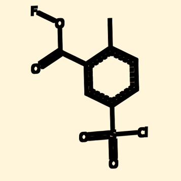 Cc1ccc(S(=O)(=O)Cl)cc1C(=O)OF